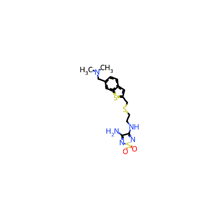 CN(C)Cc1ccc2cc(CSCCNC3=NS(=O)(=O)N=C3N)sc2c1